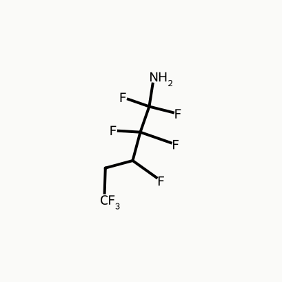 NC(F)(F)C(F)(F)C(F)CC(F)(F)F